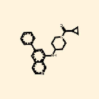 O=C(C1CC1)N1CCC(Nc2cc(-c3ccccc3)cc3ccncc23)CC1